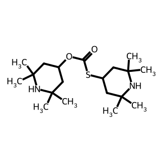 CC1(C)CC(OC(=O)SC2CC(C)(C)NC(C)(C)C2)CC(C)(C)N1